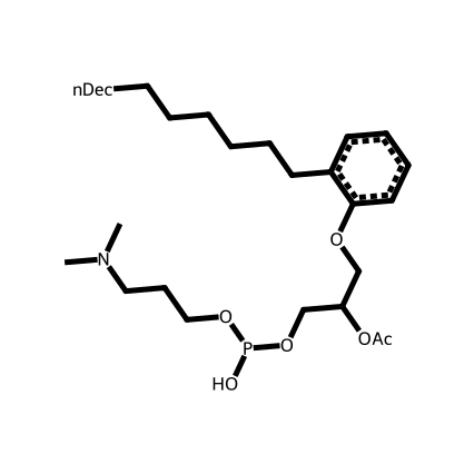 CCCCCCCCCCCCCCCCc1ccccc1OCC(COP(O)OCCCN(C)C)OC(C)=O